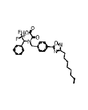 CCCCCCCCc1noc(-c2ccc(CN(C(=O)C(=O)O)C(c3ccccc3)C(F)(F)F)cc2)n1